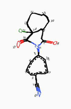 N#Cc1ccc(N2C(=O)C3CCCCC3(Cl)C2=O)cc1